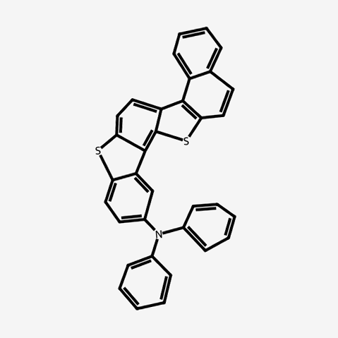 c1ccc(N(c2ccccc2)c2ccc3sc4ccc5c(sc6ccc7ccccc7c65)c4c3c2)cc1